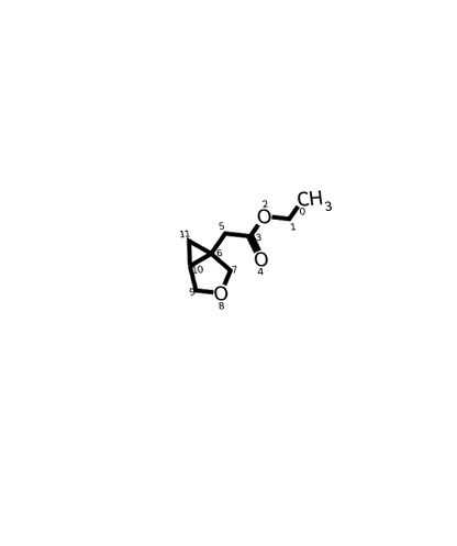 CCOC(=O)CC12COCC1C2